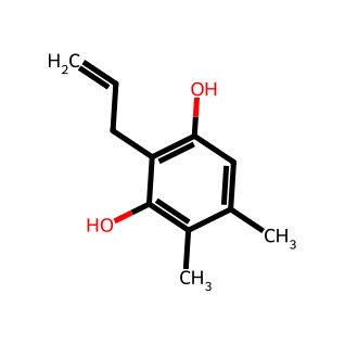 C=CCc1c(O)cc(C)c(C)c1O